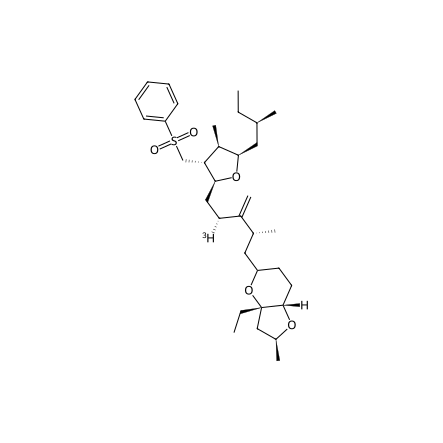 [3H][C@H](C[C@@H]1O[C@H](C[C@H](C)CC)[C@H](C)[C@H]1CS(=O)(=O)c1ccccc1)C(=C)[C@H](C)CC1CC[C@@H]2O[C@@H](C)C[C@]2(CC)O1